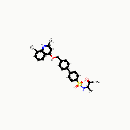 COC(=O)C(NS(=O)(=O)c1ccc(-c2ccc(COc3cc(C(F)(F)F)nc4c(C(F)(F)F)cccc34)cc2)cc1)C(C)C